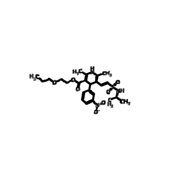 CCCOCCOC(=O)C1=C(C)NC(C)=C(/C=C/S(=O)(=O)NC(C)C)C1c1cccc([N+](=O)[O-])c1